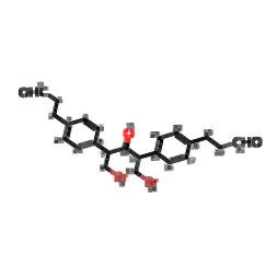 O=CCCc1ccc(C(CBr)C(=O)C(CBr)c2ccc(CCC=O)cc2)cc1